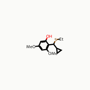 CCSC(c1c(O)cc(OC)cc1OC)C1CC1